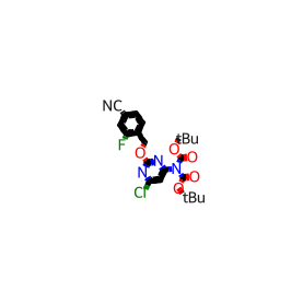 CC(C)(C)OC(=O)N(C(=O)OC(C)(C)C)c1cc(Cl)nc(OCc2ccc(C#N)cc2F)n1